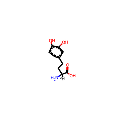 [2H]C(N)(CCc1ccc(O)c(O)c1)C(=O)O